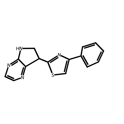 c1ccc(-c2csc(C3CNc4nccnc43)n2)cc1